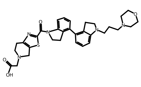 O=C(O)CN1CCc2nc(C(=O)N3CCc4c(-c5cccc6c5CCN6CCCN5CCOCC5)cccc43)sc2C1